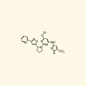 CCOc1cc(Nc2cc(C)[nH]n2)nc(N2CCCC2c2cc(-c3ccccn3)no2)n1